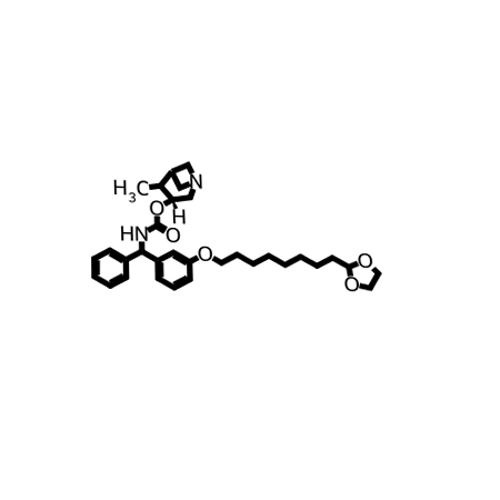 CC1C2CN(C2)C[C@@H]1OC(=O)NC(c1ccccc1)c1cccc(OCCCCCCCCC2OCCO2)c1